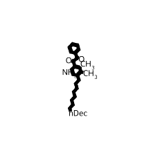 CCCCCCCCCCCCCCCCCCc1ccc(C(=O)C(=O)c2ccccc2)c(C)c1C.N